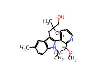 CCn1c(-c2cccnc2[C@H](C)OC)c(CC(C)(C)CO)c2cc(C)ccc21